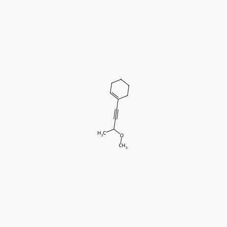 COC(C)C#CC1=CC[CH]CC1